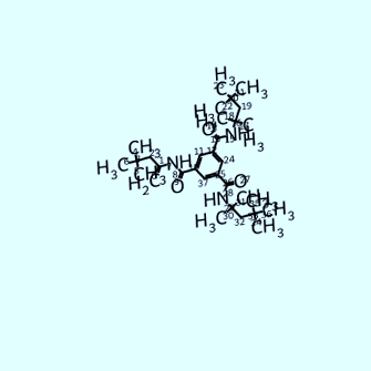 C=C(CC(C)(C)C)NC(=O)c1cc(C(=O)NC(C)(C)CC(C)(C)C)cc(C(=O)NC(C)(C)CC(C)(C)C)c1